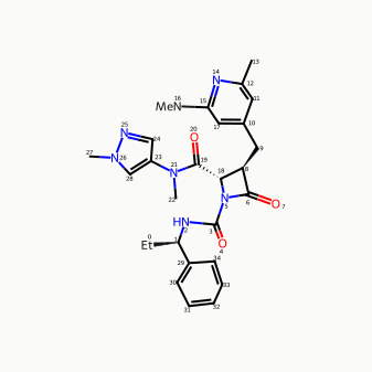 CC[C@@H](NC(=O)N1C(=O)[C@H](Cc2cc(C)nc(NC)c2)[C@H]1C(=O)N(C)c1cnn(C)c1)c1ccccc1